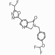 O=C1c2cc(-c3nnc(C(F)F)o3)cnc2CN1Cc1ccc(OC(F)F)cc1